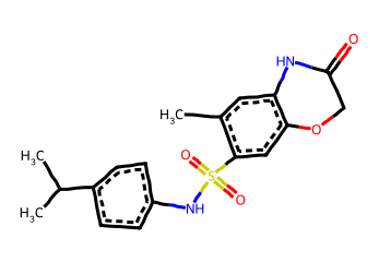 Cc1cc2c(cc1S(=O)(=O)Nc1ccc(C(C)C)cc1)OCC(=O)N2